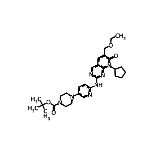 CCOCc1cc2cnc(Nc3ccc(N4CCN(C(=O)OC(C)(C)C)CC4)cn3)nc2n(C2CCCC2)c1=O